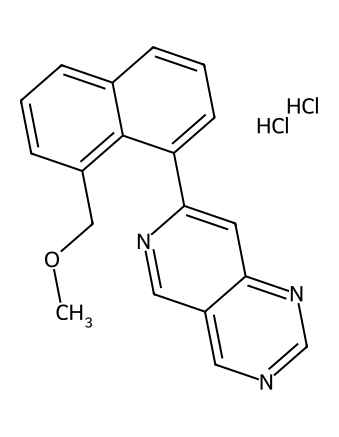 COCc1cccc2cccc(-c3cc4ncncc4cn3)c12.Cl.Cl